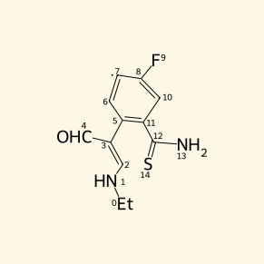 CCNC=C(C=O)c1c[c]c(F)cc1C(N)=S